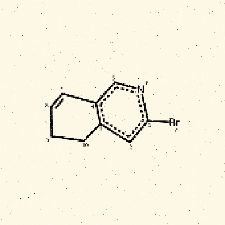 Brc1cc2c(cn1)C=CCC2